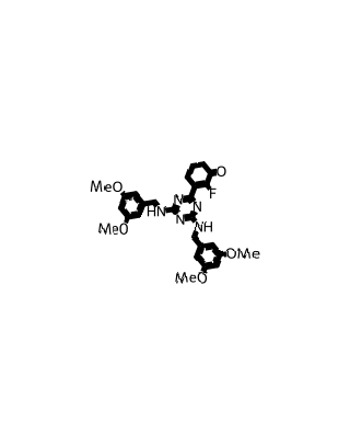 COc1cc(CNc2nc(NCc3cc(OC)cc(OC)c3)nc(C3=C(F)C(=O)CCC3)n2)cc(OC)c1